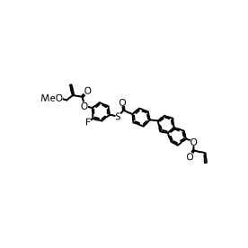 C=CC(=O)Oc1ccc2cc(-c3ccc(C(=O)Sc4ccc(OC(=O)C(=C)COC)c(F)c4)cc3)ccc2c1